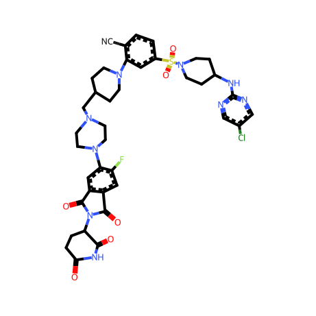 N#Cc1ccc(S(=O)(=O)N2CCC(Nc3ncc(Cl)cn3)CC2)cc1N1CCC(CN2CCN(c3cc4c(cc3F)C(=O)N(C3CCC(=O)NC3=O)C4=O)CC2)CC1